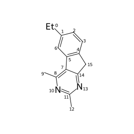 CCc1ccc2c(c1)-c1c(C)nc(C)nc1C2